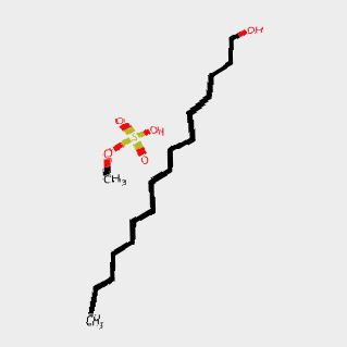 CCCCCCCCCCCCCCCCO.COS(=O)(=O)O